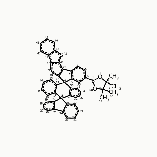 CC1(C)OB(c2ccc3c(c2)C2(c4ccccc4C4(c5ccccc5-c5ccccc54)c4ccccc42)c2ccc4c(sc5ccccc54)c2-3)OC1(C)C